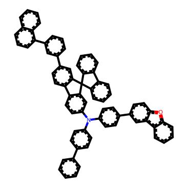 c1ccc(-c2ccc(N(c3ccc(-c4ccc5oc6ccccc6c5c4)cc3)c3ccc4c(c3)C3(c5ccccc5-c5ccccc53)c3cc(-c5cccc(-c6cccc7ccccc67)c5)ccc3-4)cc2)cc1